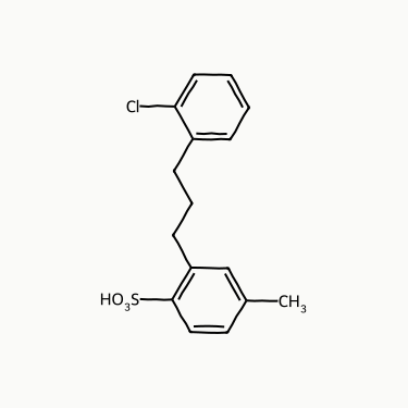 Cc1ccc(S(=O)(=O)O)c(CCCc2ccccc2Cl)c1